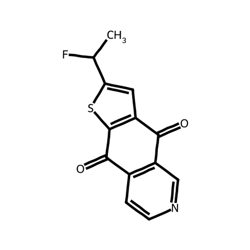 CC(F)c1cc2c(s1)C(=O)c1ccncc1C2=O